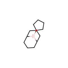 C1CCC(B2C3CCCC2CCC3)C1